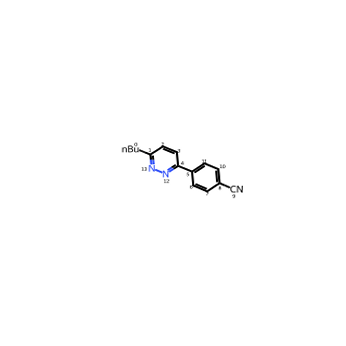 CCCCc1ccc(-c2ccc(C#N)cc2)nn1